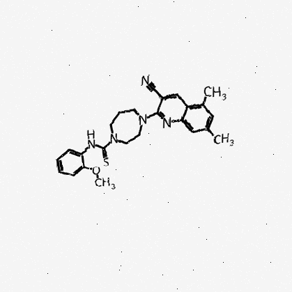 COc1ccccc1NC(=S)N1CCCN(c2nc3cc(C)cc(C)c3cc2C#N)CC1